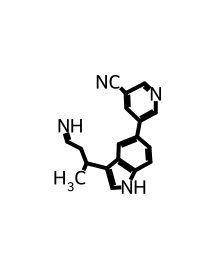 CC(CC=N)c1c[nH]c2ccc(-c3cncc(C#N)c3)cc12